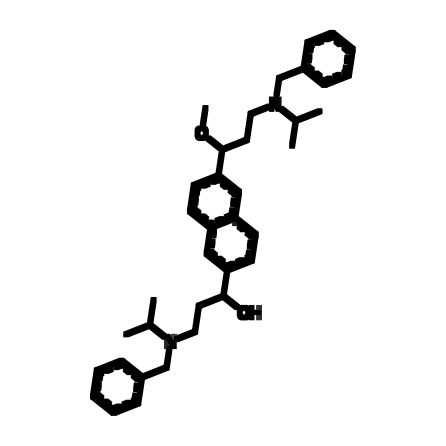 COC(CCN(Cc1ccccc1)C(C)C)c1ccc2cc(C(O)CCN(Cc3ccccc3)C(C)C)ccc2c1